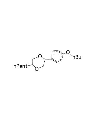 CCCCCC1COC(c2ccc(OCCCC)cc2)CO1